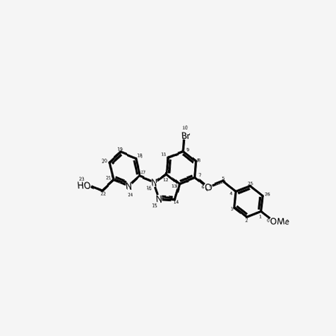 COc1ccc(COc2cc(Br)cc3c2cnn3-c2cccc(CO)n2)cc1